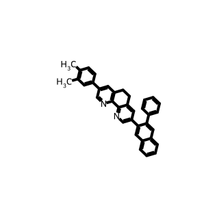 Cc1ccc(-c2cnc3c(c2)CCc2cc(-c4cc5ccccc5cc4-c4ccccc4)cnc2-3)cc1C